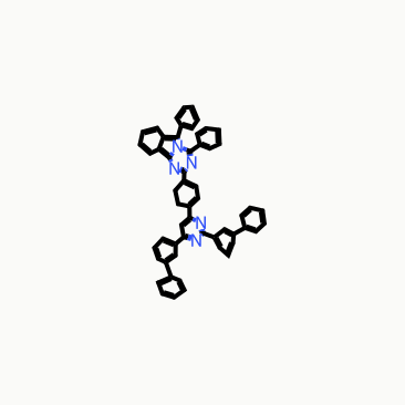 C1=C(c2cc(-c3cccc(-c4ccccc4)c3)nc(-c3cccc(-c4ccccc4)c3)n2)CCC(c2nc(-c3ccccc3)n3c(-c4ccccc4)c4ccccc4c3n2)=C1